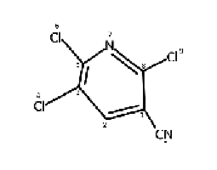 N#Cc1cc(Cl)c(Cl)nc1Cl